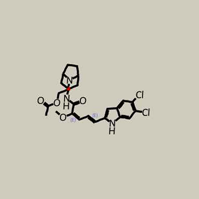 CO/C(=C/C=C/c1cc2cc(Cl)c(Cl)cc2[nH]1)C(=O)NC1CC2CCC(C1)N2CCOC(C)=O